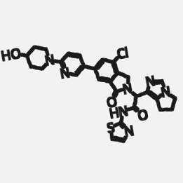 O=C(Nc1nccs1)C(c1ncn2c1CCC2)N1Cc2c(Cl)cc(-c3ccc(N4CCC(O)CC4)nc3)cc2C1=O